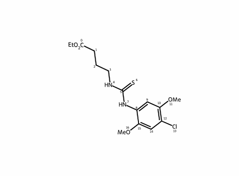 CCOC(=O)CCCNC(=S)Nc1cc(OC)c(Cl)cc1OC